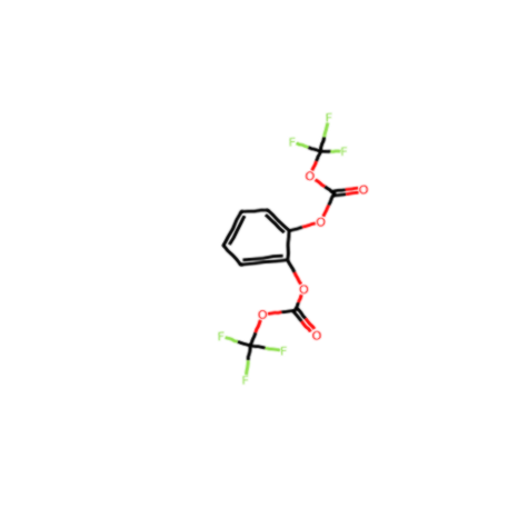 O=C(Oc1ccccc1OC(=O)OC(F)(F)F)OC(F)(F)F